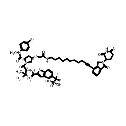 CN(C(=O)[C@@H]1C[C@@H](OCC(=O)NCCCCCCCCCC#Cc2cccc3c2CN(C2CCC(=O)NC2=O)C3=O)CN1C(=O)[C@@H](NC(=O)c1cc2cc(C(F)(F)P(=O)(O)O)ccc2s1)C(C)(C)C)c1ccc(Br)cc1